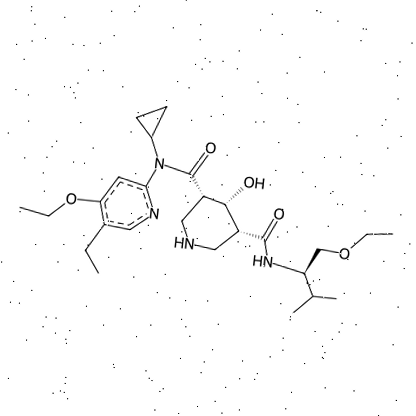 CCOC[C@H](NC(=O)[C@@H]1CNC[C@H](C(=O)N(c2cc(OCC)c(CC)cn2)C2CC2)[C@@H]1O)C(C)C